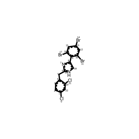 Clc1ccc(Cc2nc(-c3c(Br)cc(Br)cc3Br)c[nH]2)c(Cl)c1